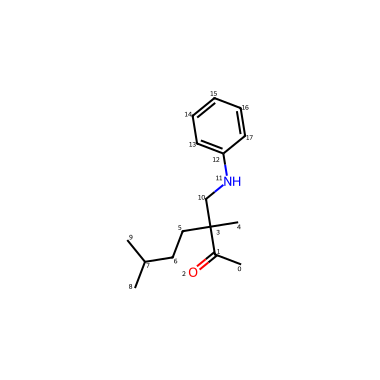 CC(=O)C(C)(CCC(C)C)CNc1ccccc1